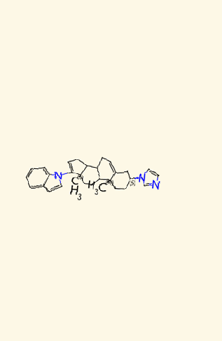 C[C@]12CC[C@H](n3ccnc3)CC1=CCC1C2CC[C@]2(C)C(n3ccc4ccccc43)=CCC12